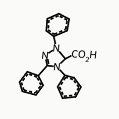 O=C(O)C1N(c2ccccc2)N=C(c2ccccc2)N1c1ccccc1